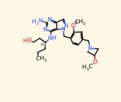 CCC[C@@H](CCO)Nc1nc(N)nc2cnn(Cc3ccc(CN4CC(OC)C4)cc3OC)c12